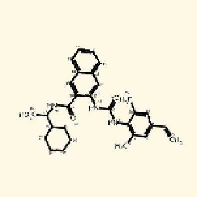 C=Cc1cc(C)c(NC(=O)Nc2cc3ccccc3cc2C(=O)N[C@H](C(=O)O)C2CCCCC2)c(C)c1